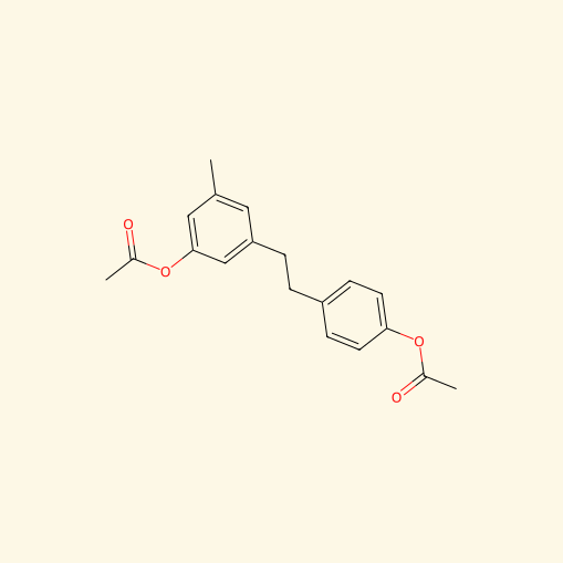 CC(=O)Oc1ccc(CCc2cc(C)cc(OC(C)=O)c2)cc1